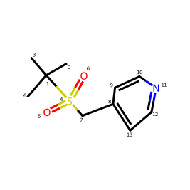 CC(C)(C)S(=O)(=O)Cc1ccncc1